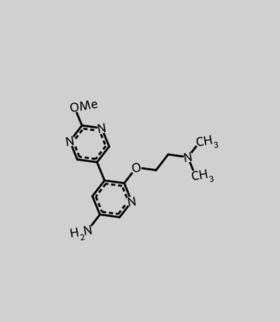 COc1ncc(-c2cc(N)cnc2OCCN(C)C)cn1